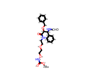 CC(C)(C)OC(=O)NOCCOCCNC(=O)C(OCc1ccccc1)C(NC=O)c1ccccc1